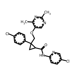 Cc1ncc(OCC2(c3ccc(Cl)cc3)CC2C(=O)Nc2ccc(Cl)cn2)c(C)n1